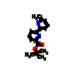 Cc1cccc(-c2cccc(C(=O)OC(C)(C)C)n2)n1